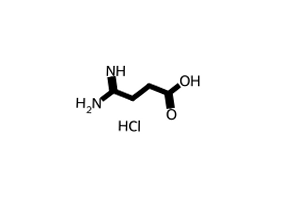 Cl.N=C(N)CCC(=O)O